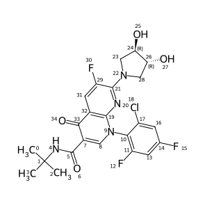 CC(C)(C)NC(=O)c1cn(-c2c(F)cc(F)cc2Cl)c2nc(N3C[C@@H](O)[C@H](O)C3)c(F)cc2c1=O